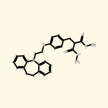 COC(=O)C(Cc1ccc(OCCN2c3ccccc3CCc3ccccc32)cc1)C(=O)OC